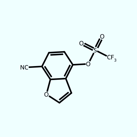 N#Cc1ccc(OS(=O)(=O)C(F)(F)F)c2ccoc12